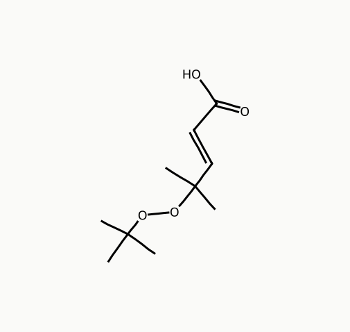 CC(C)(C)OOC(C)(C)C=CC(=O)O